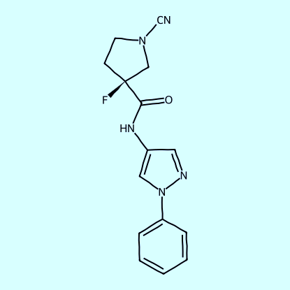 N#CN1CC[C@@](F)(C(=O)Nc2cnn(-c3ccccc3)c2)C1